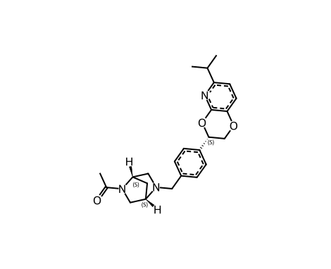 CC(=O)N1C[C@@H]2C[C@H]1CN2Cc1ccc([C@H]2COc3ccc(C(C)C)nc3O2)cc1